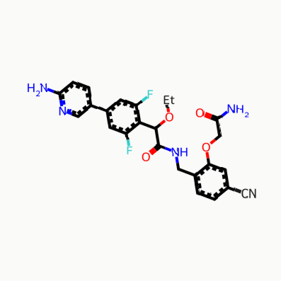 CCOC(C(=O)NCc1ccc(C#N)cc1OCC(N)=O)c1c(F)cc(-c2ccc(N)nc2)cc1F